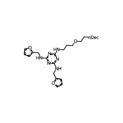 CCCCCCCCCCCCOCCCNc1nc(NCc2ccco2)nc(NCc2ccco2)n1